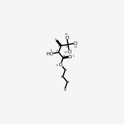 C=C(C(O)C(=O)OCCCC)C(Cl)(Cl)Cl